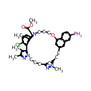 COC(=O)c1c(C)c2c3c(Cl)ccc2n1CCCOc1cc(cc2cc(P)ccc12)CCc1cc(nn1C)CCCn1nc(C)c(C)c1-3